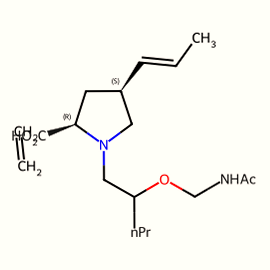 C=C.CC=C[C@@H]1C[C@H](C(=O)O)N(CC(CCC)OCNC(C)=O)C1